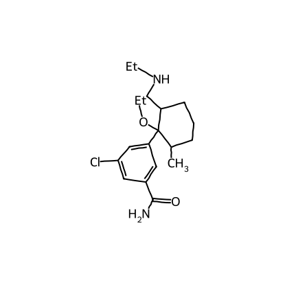 CCNCC1CCCC(C)C1(OCC)c1cc(Cl)cc(C(N)=O)c1